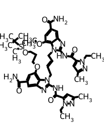 CCn1nc(C)cc1C(=O)Nc1nc2cc(C(N)=O)cc(OC)c2n1CC=CCn1c(NC(=O)c2cc(C)nn2CC)nc2cc(C(N)=O)cc(OCCCO[Si](C)(C)C(C)(C)C)c21